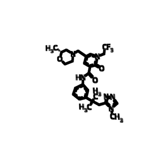 C[C@@H]1CN(Cc2cc(C(=O)Nc3cccc(C(C)(C)Cc4nncn4C)c3)c(=O)n(CC(F)(F)F)c2)CCO1